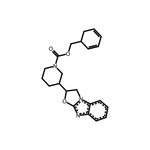 O=C(OCC1C=CC=CC1)N1CCCC(C2Cn3c(nc4ccccc43)O2)C1